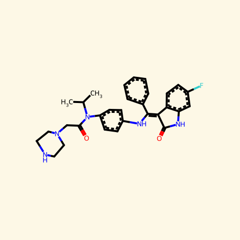 CC(C)N(C(=O)CN1CCNCC1)c1ccc(N/C(=C2\C(=O)Nc3cc(F)ccc32)c2ccccc2)cc1